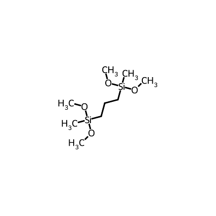 CO[Si](C)(CCC[Si](C)(OC)OC)OC